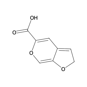 O=C(O)C1=CC2=CCOC2=CO1